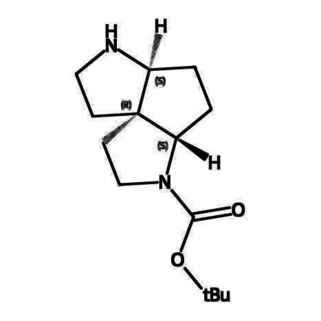 CC(C)(C)OC(=O)N1CC[C@]23CCN[C@H]2CC[C@H]13